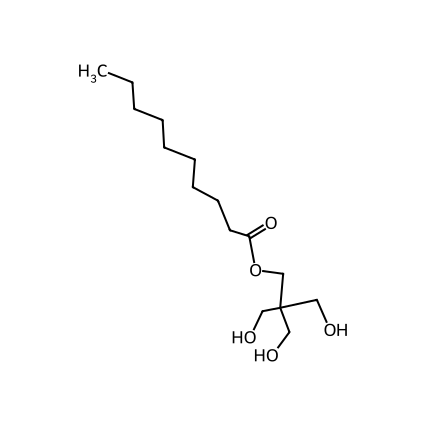 CCCCCCCCCC(=O)OCC(CO)(CO)CO